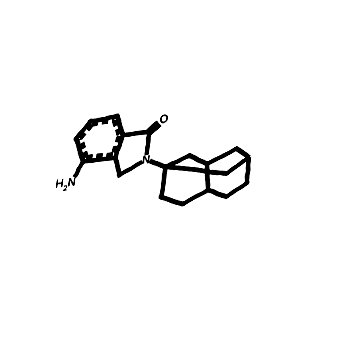 Nc1cccc2c1CN(C13CCC4CCC(CC4C1)C3)C2=O